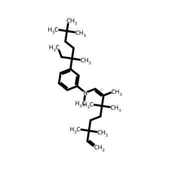 C=CC(C)(C)CCC(C)(C)/C(C)=C\N(C)c1cccc(C(C)(CC)CCC(C)(C)C)c1